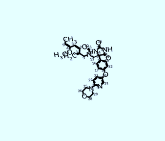 C=C(/C=C\C(=C/C)OC)CN(C=O)C[C@@]1(c2ccc(Oc3ccc(N4CCOCC4)nc3)cc2)NC(=O)NC1=O